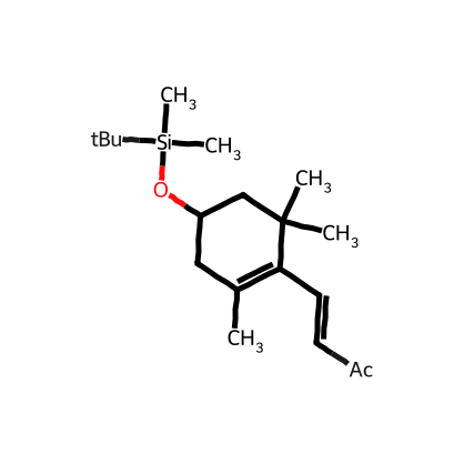 CC(=O)C=CC1=C(C)CC(O[Si](C)(C)C(C)(C)C)CC1(C)C